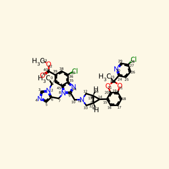 CCn1cncc1Cn1c(CN2C[C@@H]3C(c4cccc5c4O[C@](C)(c4ccc(Cl)cn4)O5)[C@@H]3C2)nc2c(Cl)cc(C(=O)OC)cc21